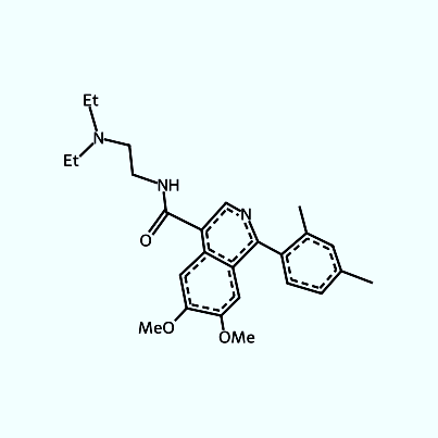 CCN(CC)CCNC(=O)c1cnc(-c2ccc(C)cc2C)c2cc(OC)c(OC)cc12